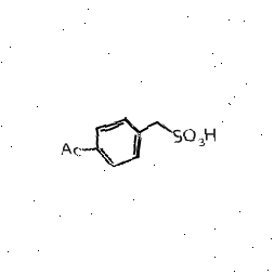 CC(=O)c1ccc(CS(=O)(=O)O)cc1